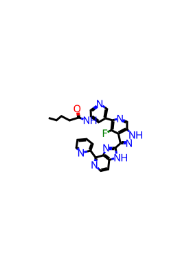 CCCCC(=O)Nc1cncc(-c2ncc3[nH]nc(-c4nc5c(-c6ccccn6)nccc5[nH]4)c3c2F)c1